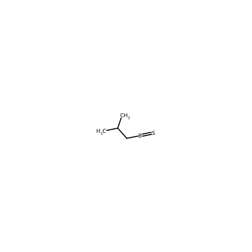 CC(C)CB=S